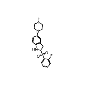 O=S(=O)(c1ccccc1F)C1Cc2cc(N3CCNCC3)ccc2N1